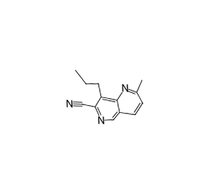 CCCc1c(C#N)ncc2ccc(C)nc12